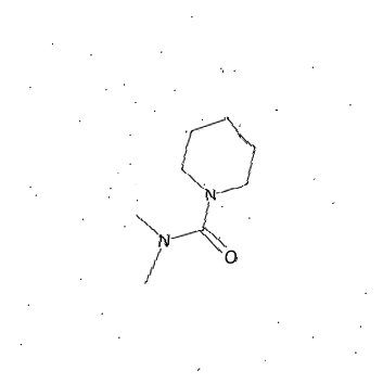 CN(C)C(=O)N1C[CH]CCC1